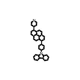 c1ccc2c(c1)c1ccccc1n2-c1ccc(-c2ccc3ccc4c(-c5ccncc5)ccc5ccc2c3c54)cc1